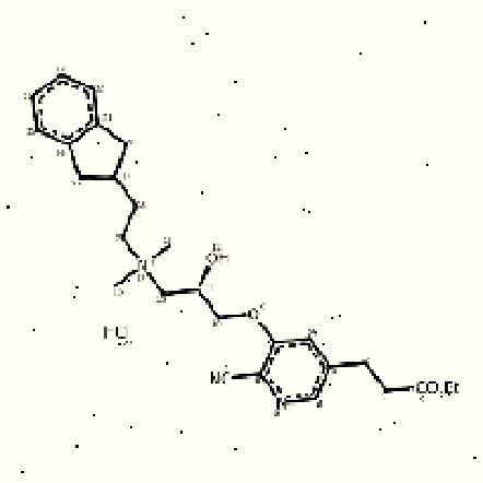 CCOC(=O)CCc1cnc(C#N)c(OC[C@H](O)C[N+](C)(C)CCC2Cc3ccccc3C2)c1.Cl